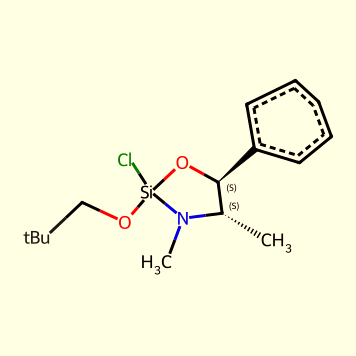 C[C@H]1[C@H](c2ccccc2)O[Si](Cl)(OCC(C)(C)C)N1C